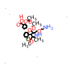 CC(=O)Oc1ccccc1C(=O)O.CCOC(=O)C1=C(COCCN)NC(C)=C(C(=O)OC)C1c1ccccc1Cl